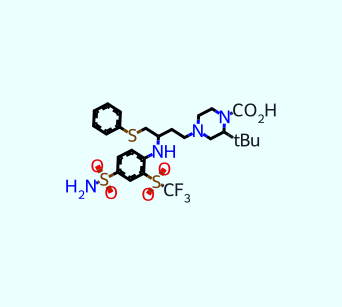 CC(C)(C)C1CN(CCC(CSc2ccccc2)Nc2ccc(S(N)(=O)=O)cc2S(=O)(=O)C(F)(F)F)CCN1C(=O)O